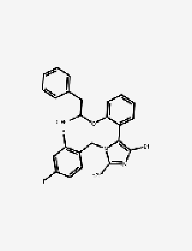 CCCc1nc(CC)c(-c2ccccc2OC(C=O)Cc2ccccc2)n1Cc1ccc(I)cc1F